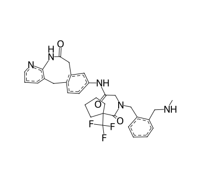 CNCc1ccccc1CN(CC(=O)Nc1ccc2c(c1)CC(=O)Nc1ncccc1C2)C(=O)C1(C(F)(F)F)CCCC1